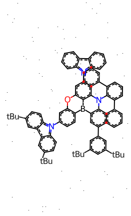 CC(C)(C)c1cc(-c2ccc3c(c2)B2c4ccc(-n5c6ccc(C(C)(C)C)cc6c6cc(C(C)(C)C)ccc65)cc4Oc4cc(-n5c6ccccc6c6ccccc65)cc(c42)N3c2c(-c3ccccc3)cccc2-c2ccccc2)cc(C(C)(C)C)c1